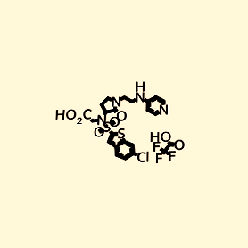 O=C(O)C(F)(F)F.O=C(O)CN(C1CCN(CCNc2ccncc2)C1=O)S(=O)(=O)c1cc2ccc(Cl)cc2s1